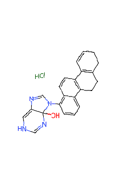 Cl.OC12N=CNC=C1N=CN2c1cccc2c3c(ccc12)C1=C(CCC=C1)CC3